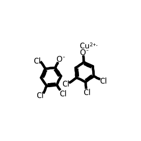 [Cu+2].[O-]c1cc(Cl)c(Cl)c(Cl)c1.[O-]c1cc(Cl)c(Cl)cc1Cl